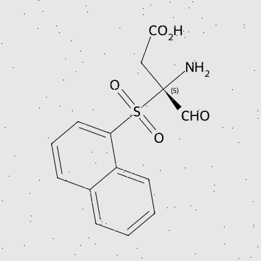 N[C@@](C=O)(CC(=O)O)S(=O)(=O)c1cccc2ccccc12